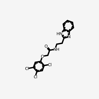 O=C(COc1cc(Cl)c(Cl)cc1Cl)NCCc1nc2ccccc2[nH]1